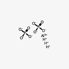 O=P([O-])([O-])[O-].O=P([O-])([O-])[O-].[Al+3].[H+].[H+].[H+]